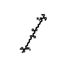 COC(OC)[SiH2]CCCCCCOC(=O)CCC(=O)OCCCCCC[SiH2]C(OC)OC